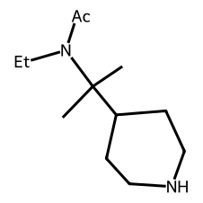 CCN(C(C)=O)C(C)(C)C1CCNCC1